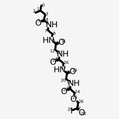 CC(C)CC(=O)NCCNC(=O)CNC(=O)CNC(=O)CNC(=O)COCC(=O)I